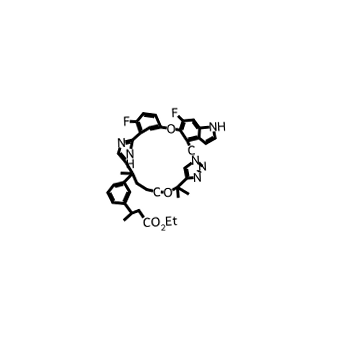 CCOC(=O)CC(C)c1cccc(C2(C)CCCOC(C)(C)c3cn(nn3)Cc3c(c(F)cc4[nH]ccc34)Oc3ccc(F)c(c3)-c3ncc2[nH]3)c1